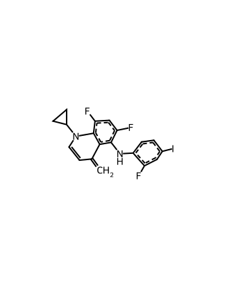 C=C1C=CN(C2CC2)c2c(F)cc(F)c(Nc3ccc(I)cc3F)c21